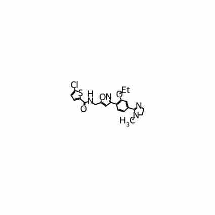 CCOc1cc(C2=NCCN2C)ccc1-c1cc(CNC(=O)c2ccc(Cl)s2)on1